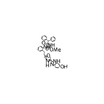 COC(=O)N[C@H](C(=O)Nc1ccccc1CC[C@@H]1CN[C@H](c2nc3ccc(O)cc3[nH]2)CO1)C(c1ccccc1)c1ccccc1